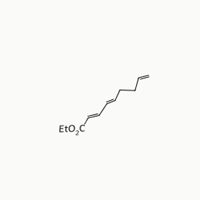 C=CCC/C=C/C=C/C(=O)OCC